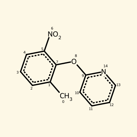 Cc1cccc([N+](=O)[O-])c1Oc1ccccn1